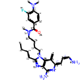 C=c1/c(=C\C=C/N)nc(N)c2nc(CCCC)n(CCCCN(C)C(=O)c3ccc(N(C)C)c(F)c3)c12